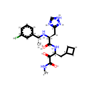 CC(C)NC(=O)C(=O)[C@H](CC1CCC1)NC(=O)[C@H](Cc1nc[nH]n1)N[C@@H](c1cccc(F)c1)C(F)(F)F